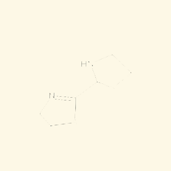 C1CSC([C]2NCCS2)=N1